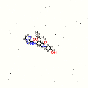 CC(C)Oc1cc2c(cc1NC(=O)c1cnn3cccnc13)CN(C1CCC(CO)CC1)C2=O